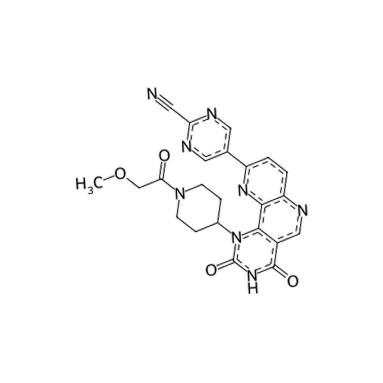 COCC(=O)N1CCC(n2c(=O)[nH]c(=O)c3cnc4ccc(-c5cnc(C#N)nc5)nc4c32)CC1